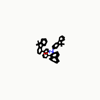 CC1(C)c2ccccc2-c2ccc(N(c3ccc(C4=CC=CC5C4c4ccccc4C5(C)C)cc3)c3ccc4ccccc4c3C3C=CC=CC3)cc21